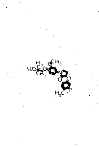 COc1cc(N2CCC(Oc3ccc(C)c(F)c3)C2=O)ccc1OCC(C)(C)O